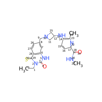 CCn1c(=O)[nH]c2cc(CN3CC(Nc4ccc(C(=O)NC)nc4C)C3)ccc2c1=S